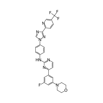 Fc1cc(-c2ccnc(Nc3ccc(-n4cnc(-c5ccc(C(F)(F)F)cn5)n4)cc3)n2)cc(N2CCOCC2)c1